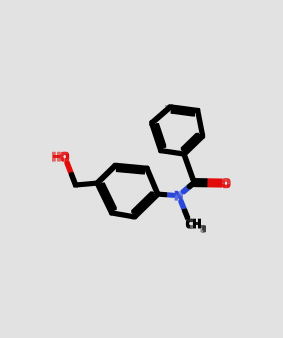 CN(C(=O)c1cc[c]cc1)c1ccc(CO)cc1